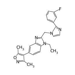 CCn1c(Cn2ccnc2-c2cccc(F)c2)nc2cc(-c3c(C)noc3C)ccc21